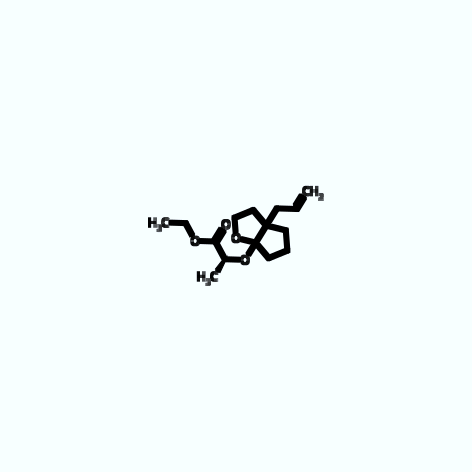 C=CCC12CCCC1(O[C@@H](C)C(=O)OCC)OCC2